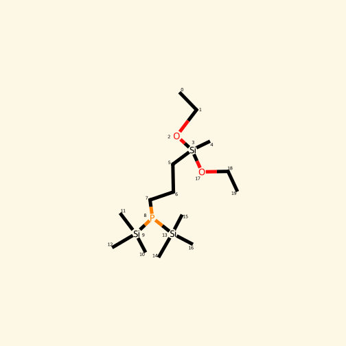 CCO[Si](C)(CCCP([Si](C)(C)C)[Si](C)(C)C)OCC